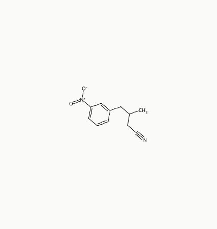 CC(CC#N)Cc1cccc([N+](=O)[O-])c1